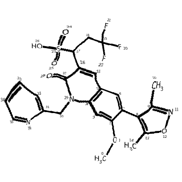 COc1cc2c(cc1-c1c(C)noc1C)cc(C(CC(F)(F)F)S(=O)(=O)O)c(=O)n2Cc1ccccn1